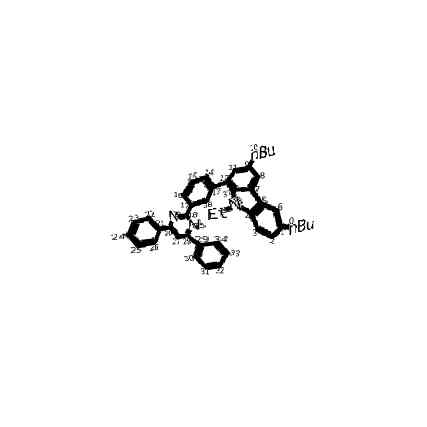 CCCCc1ccc2c(c1)c1cc(CCCC)cc(-c3cccc(-c4nc(-c5ccccc5)cc(-c5ccccc5)n4)c3)c1n2CC